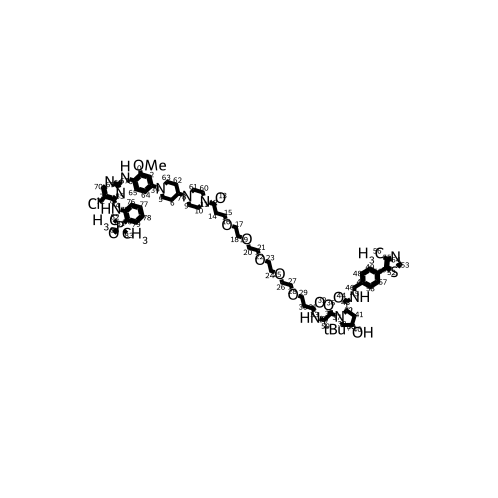 COc1cc(N2CCC(N3CCN(C(=O)CCOCCOCCOCCOCCOCCC(=O)N[C@H](C(=O)N4C[C@H](O)C[C@H]4C(=O)NCc4ccc(-c5scnc5C)cc4)C(C)(C)C)CC3)CC2)ccc1Nc1ncc(Cl)c(Nc2ccccc2P(C)(C)=O)n1